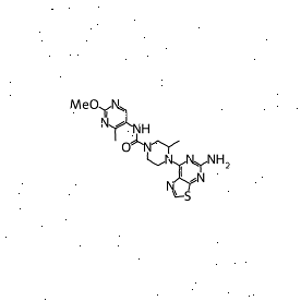 COc1ncc(NC(=O)N2CCN(c3nc(N)nc4scnc34)C(C)C2)c(C)n1